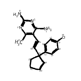 Cc1nc(N)nc(N)c1C=CC1(c2ccc(Cl)cc2)CCCC1